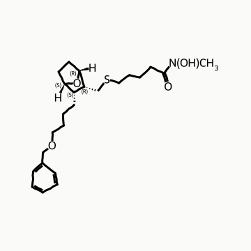 CN(O)C(=O)CCCCSC[C@@H]1[C@H](CCCCOCc2ccccc2)[C@@H]2CC[C@H]1O2